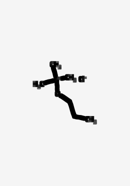 CCCO[N+](C)(C)C.[Cl-]